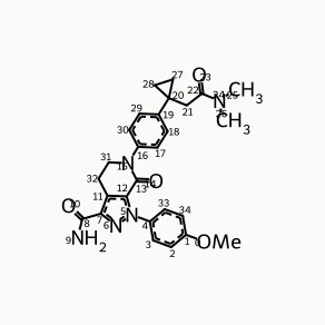 COc1ccc(-n2nc(C(N)=O)c3c2C(=O)N(c2ccc(C4(CC(=O)N(C)C)CC4)cc2)CC3)cc1